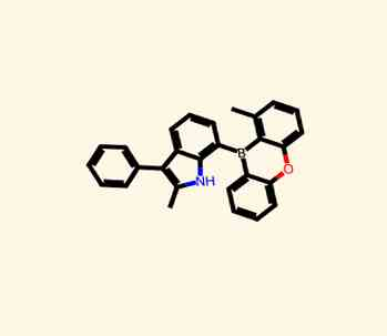 Cc1cccc2c1B(c1cccc3c(-c4ccccc4)c(C)[nH]c13)c1ccccc1O2